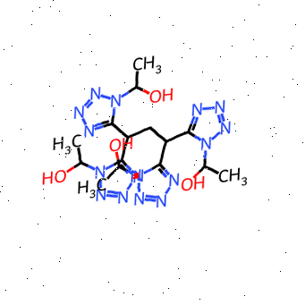 CC(O)n1nnnc1C(CC(c1nnnn1C(C)O)c1nnnn1C(C)O)c1nnnn1C(C)O